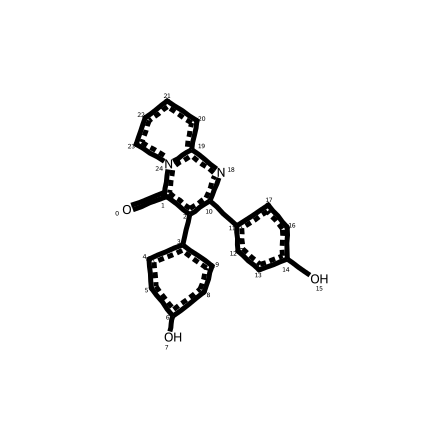 O=c1c(-c2ccc(O)cc2)c(-c2ccc(O)cc2)nc2ccccn12